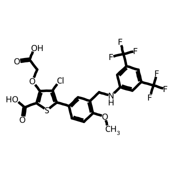 COc1ccc(-c2sc(C(=O)O)c(OCC(=O)O)c2Cl)cc1CNc1cc(C(F)(F)F)cc(C(F)(F)F)c1